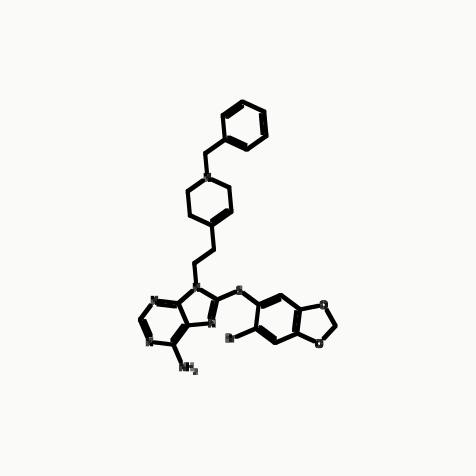 Nc1ncnc2c1nc(Sc1cc3c(cc1Br)OCO3)n2CCC1=CCN(Cc2ccccc2)CC1